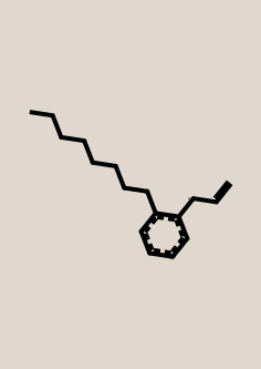 C=C[CH]c1ccccc1CCCCCCCC